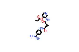 CCC(=O)Oc1ccncc1NC(=O)C1CC1C(=O)Nc1ccc(C(=N)N)cc1